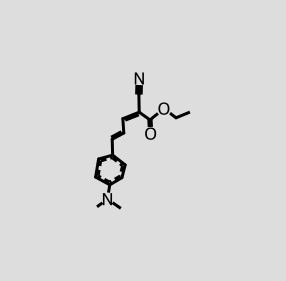 CCOC(=O)C(C#N)=CC=Cc1ccc(N(C)C)cc1